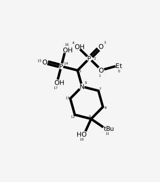 CCOP(=O)(O)C(N1CCC(O)(C(C)(C)C)CC1)P(=O)(O)O